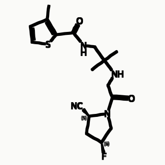 Cc1ccsc1C(=O)NCC(C)(C)NCC(=O)N1C[C@@H](F)C[C@H]1C#N